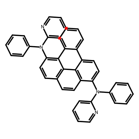 c1ccc(N(c2ccccn2)c2ccc3c4ccccc4c4c(N(c5ccccc5)c5ccccn5)ccc5ccc2c3c54)cc1